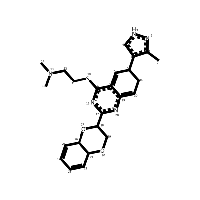 Cc1n[nH]cc1C1C=c2c(SCCN(C)C)nc(C3COC4C=CC=CC4O3)nc2=CC1